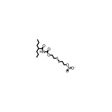 CCCC(CCC)C(=O)NC(=O)OCCSSCCO[N+](=O)[O-]